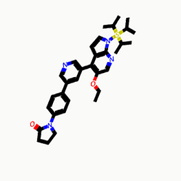 CCOc1cnc2c(ccn2S(C(C)C)(C(C)C)C(C)C)c1-c1cncc(-c2ccc(N3CCCC3=O)cc2)c1